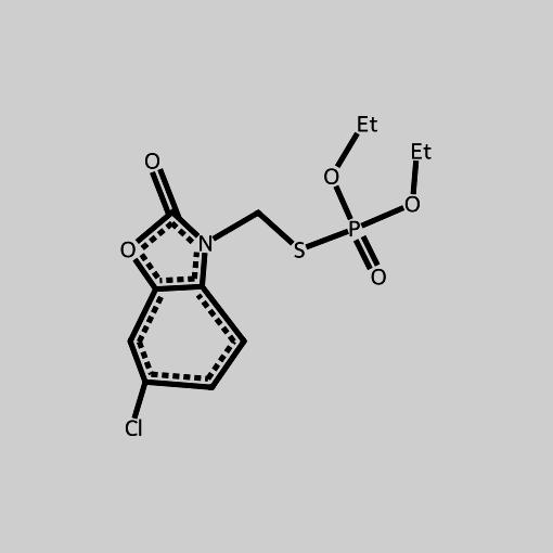 CCOP(=O)(OCC)SCn1c(=O)oc2cc(Cl)ccc21